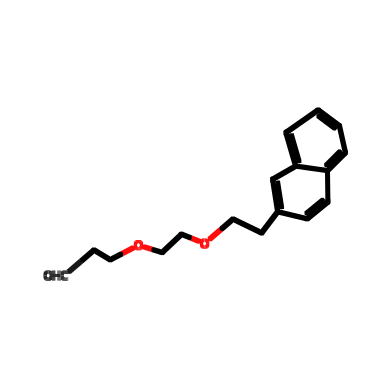 O=CCCOCCOCCc1ccc2ccccc2c1